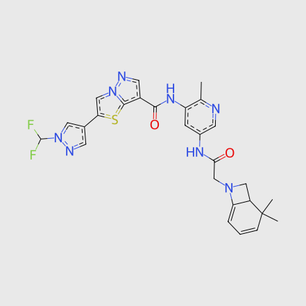 Cc1ncc(NC(=O)CN2CC3C2=CC=CC3(C)C)cc1NC(=O)c1cnn2cc(-c3cnn(C(F)F)c3)sc12